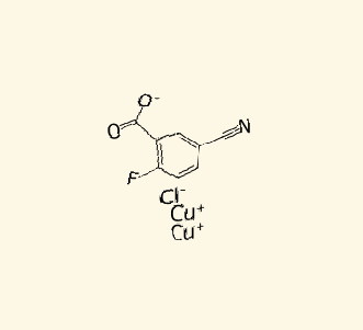 N#Cc1ccc(F)c(C(=O)[O-])c1.[Cl-].[Cu+].[Cu+]